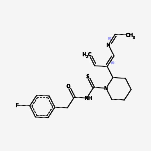 C=C/C(=C\N=C/C)C1CCCCN1C(=S)NC(=O)Cc1ccc(F)cc1